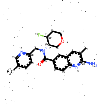 Cc1cc2cc(C(=O)N(Cc3ccc(C(F)(F)F)cn3)[C@H]3COCC[C@@H]3F)ccc2nc1N